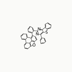 c1ccc(-c2nc(-c3ccccc3-c3ccc4oc5cccc6c7ccccc7c3c4c56)nc3c2sc2ccccc23)cc1